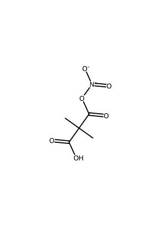 CC(C)(C(=O)O)C(=O)O[N+](=O)[O-]